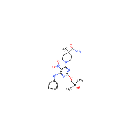 CC(C)(O)COc1nc(Nc2ccccc2)c([N+](=O)[O-])c(N2CCC(C)(C(N)=O)CC2)n1